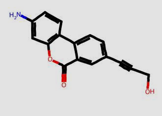 Nc1ccc2c(c1)oc(=O)c1cc(C#CCO)ccc12